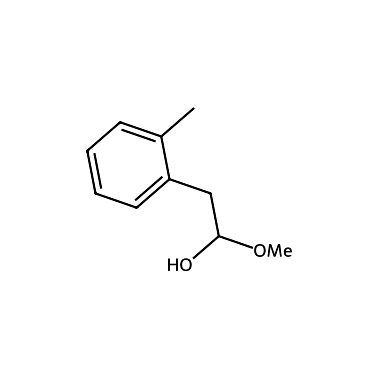 COC(O)Cc1ccccc1C